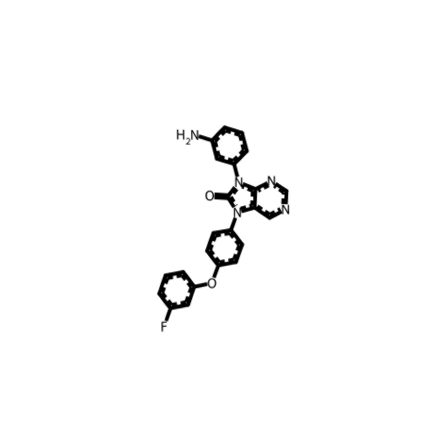 Nc1cccc(-n2c(=O)n(-c3ccc(Oc4cccc(F)c4)cc3)c3cncnc32)c1